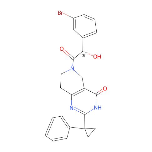 O=C([C@@H](O)c1cccc(Br)c1)N1CCc2nc(C3(c4ccccc4)CC3)[nH]c(=O)c2C1